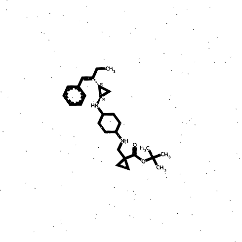 CCC(=Cc1ccccc1)[C@@H]1C[C@H]1NC1CCC(NCC2(C(=O)OC(C)(C)C)CC2)CC1